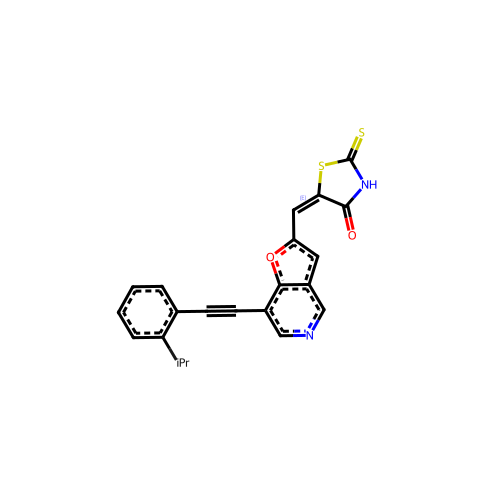 CC(C)c1ccccc1C#Cc1cncc2cc(/C=C3/SC(=S)NC3=O)oc12